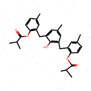 Cc1ccc(OC(=O)C(C)C)c(Cc2cc(C)cc(Cc3cc(C)ccc3OC(=O)C(C)C)c2O)c1